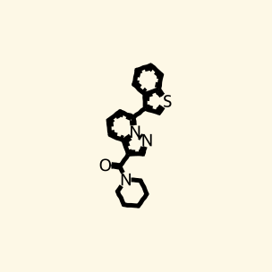 O=C(c1cnn2c(-c3csc4ccccc34)cccc12)N1CCCCC1